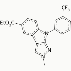 CCOC(=O)c1ccc2c(c1)c1cn(C)nc1n2-c1cccc(C(F)(F)F)c1